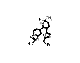 Cc1nc2cc(C3=C(c4cnc(CC(C)(C)C)o4)C=CC(C)(C#N)N3)ccn2n1